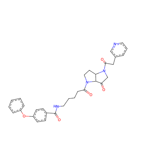 O=C(NCCCCC(=O)N1CCC2C1C(=O)CN2C(=O)Cc1cccnc1)c1ccc(Oc2ccccc2)cc1